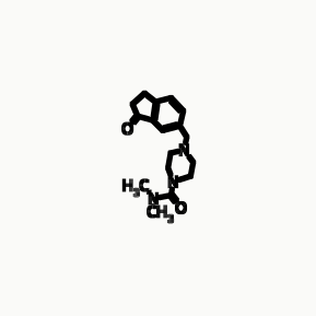 CN(C)C(=O)N1CCN(Cc2ccc3c(c2)C(=O)CC3)CC1